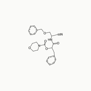 N#CC(COCc1ccccc1)NC(=O)C(Cc1ccccc1)OC(=O)N1CCOCC1